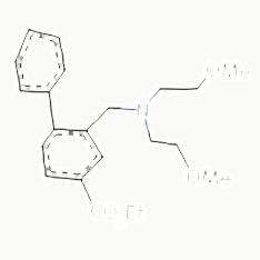 CCOC(=O)c1ccc(-c2ccccc2)c(CN(CCOC)CCOC)c1